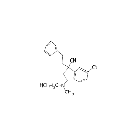 CN(C)CCC(C#N)(CCc1ccccc1)c1cccc(Cl)c1.Cl